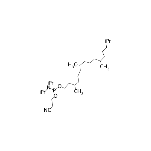 CC(C)CCCC(C)CCCC(C)CCCC(C)CCOP(OCCC#N)N(C(C)C)C(C)C